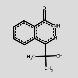 CC(C)(C)c1n[nH]c(=O)c2ccccc12